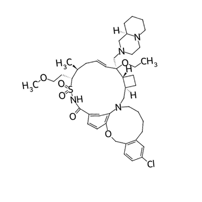 CCO[C@]1(CN2CCN3CCCC[C@@H]3C2)/C=C/C[C@H](C)[C@@H](CCOC)S(=O)(=O)NC(=O)c2ccc3c(c2)N(CCCCc2cc(Cl)ccc2CO3)C[C@@H]2CC[C@H]21